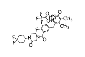 Cc1c(C)c(=O)[nH][n+](OC(=O)C(F)(F)F)c1Cc1ccc(F)c(C(=O)N2CCN(C3CCC(F)(F)CC3)C(=O)C2)c1